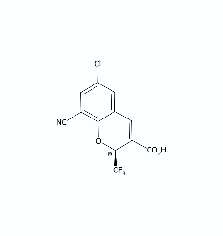 N#Cc1cc(Cl)cc2c1O[C@H](C(F)(F)F)C(C(=O)O)=C2